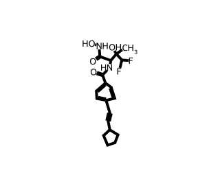 CC(O)(C(F)F)C(NC(=O)c1ccc(C#CC2CCCC2)cc1)C(=O)NO